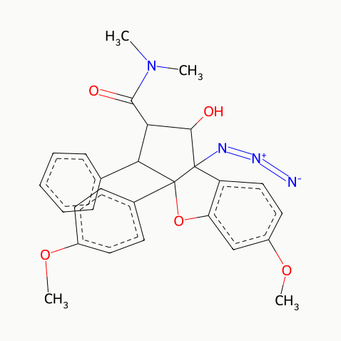 COc1ccc(C23Oc4cc(OC)ccc4C2(N=[N+]=[N-])C(O)C(C(=O)N(C)C)C3c2ccccc2)cc1